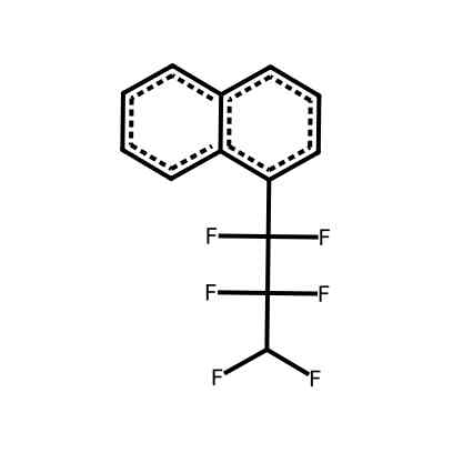 FC(F)C(F)(F)C(F)(F)c1cccc2ccccc12